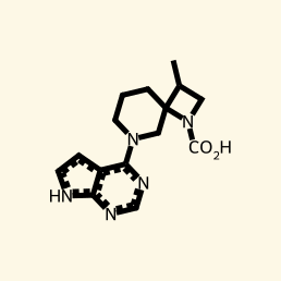 CC1CN(C(=O)O)C12CCCN(c1ncnc3[nH]ccc13)C2